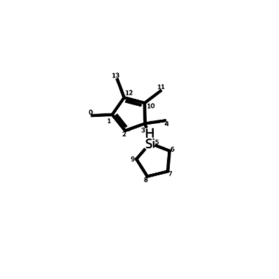 CC1=[C]C(C)([SiH]2CCCC2)C(C)=C1C